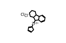 C1=CC[C]([Zr+2][CH]2C3C=CC=CC3C3CCCCC32)=C1.[Cl-].[Cl-]